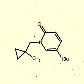 CC1(Cn2cc(C(C)(C)C)ccc2=O)CC1